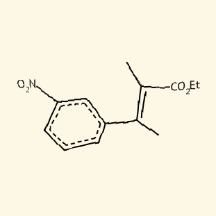 CCOC(=O)C(C)=C(C)c1cccc([N+](=O)[O-])c1